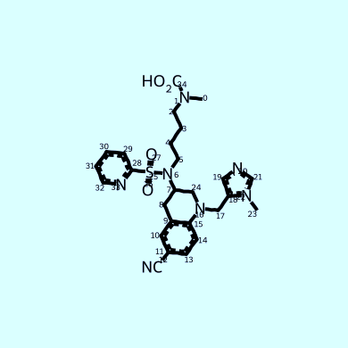 CN(CCCCN(C1Cc2cc(C#N)ccc2N(Cc2cncn2C)C1)S(=O)(=O)c1ccccn1)C(=O)O